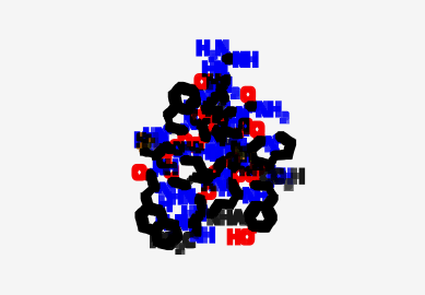 CC(=O)N[C@H](CCC(=O)O)C(=O)N[C@@H](CCCNC(=N)N)C(=O)N[C@@H](Cc1ccc2ccccc2c1)C(=O)N[C@@H](CS)C(=O)N[C@@H](Cc1ccc(O)cc1)C(=O)N[C@@H](CCCNC(N)=O)C(=O)N[C@@H](CCCCN)C(=O)N[C@H](CCC(=O)O)C(=O)N1CCC[C@H]1C(=O)N[C@@H](Cc1ccc(O)cc1)C(=O)N[C@@H](CCCNC(=N)N)C(=O)N[C@@H](CCCNC(N)=O)C(=O)N[C@@H](CS)C(=O)N[C@@H](CCCNC(=N)N)C(N)=O